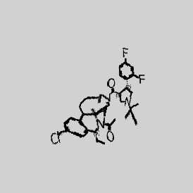 CC[C@H](NC(C)=O)c1cc(Cl)ccc1C1CCN(C(=O)[C@@H]2CN(C(C)(C)C)C[C@H]2c2ccc(F)cc2F)CC1